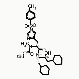 Cc1ccc(S(=O)(=O)n2cnc(C[C@@H](C(=O)N[C@@H](CC3CCCCC3)[C@@H](O)CC3CCCCC3)N(C)C(=O)OC(C)(C)C)c2)cc1